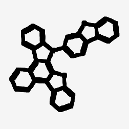 c1ccc2c(c1)oc1cc(-n3c4ccccc4c4c5ccccc5c5c6ccccc6oc5c43)ccc12